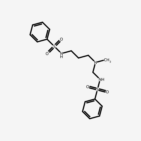 CN(CCCNS(=O)(=O)c1ccccc1)CNS(=O)(=O)c1ccccc1